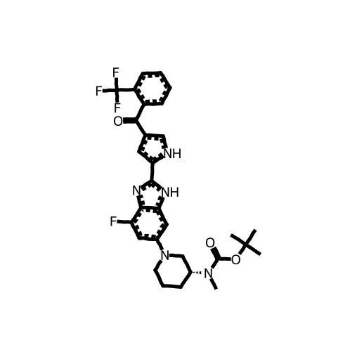 CN(C(=O)OC(C)(C)C)[C@@H]1CCCN(c2cc(F)c3nc(-c4cc(C(=O)c5ccccc5C(F)(F)F)c[nH]4)[nH]c3c2)C1